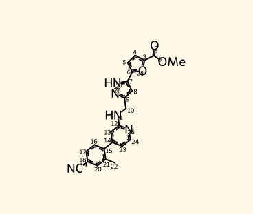 COC(=O)c1ccc(-c2cc(CNc3cc(-c4ccc(C#N)cc4C)ccn3)n[nH]2)o1